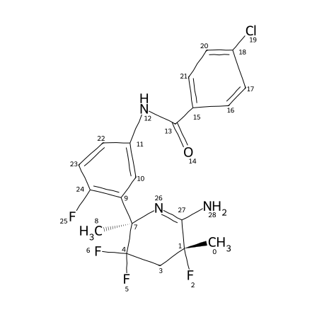 C[C@@]1(F)CC(F)(F)[C@@](C)(c2cc(NC(=O)c3ccc(Cl)cc3)ccc2F)N=C1N